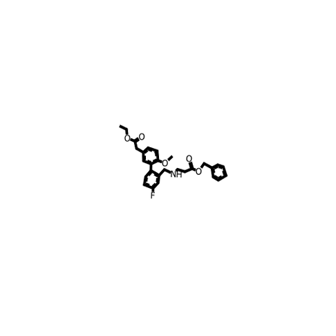 CCOC(=O)Cc1ccc(OC)c(-c2ccc(F)cc2CNCCC(=O)OCc2ccccc2)c1